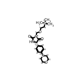 C[Si](C)(C)CCOCN1C(=O)N[C@@H](c2ccc(N3CCOCC3)cc2)C1=O